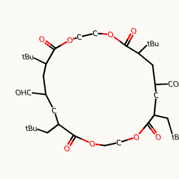 CC(C)(C)CC1CC(C=O)CC(C(C)(C)C)C(=O)OCCOC(=O)C(C(C)(C)C)CC(C(=O)O)CC(CC(C)(C)C)C(=O)OCCOC1=O